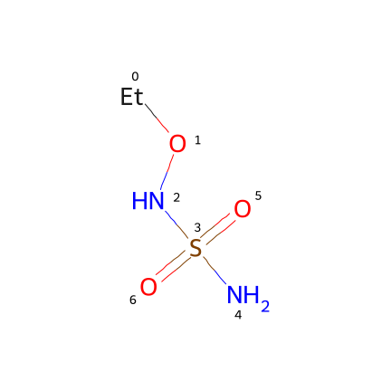 CCONS(N)(=O)=O